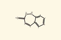 O=C1C=Cc2ccccc2OO1